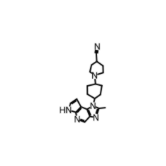 Cc1nc2cnc3[nH]ccc3c2n1C1CCC(N2CCC(C#N)CC2)CC1